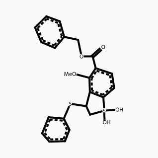 COc1c(C(=O)OCc2ccccc2)ccc2c1C(Sc1ccccc1)CS2(O)O